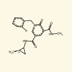 CNC(=O)c1cc(C(=O)NC2C[C@H]2C)cn(Cc2ccccc2F)c1=O